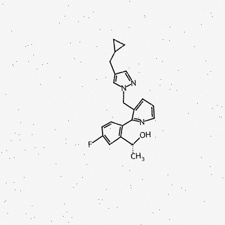 C[C@@H](O)c1cc(F)ccc1-c1ncccc1Cn1cc(CC2CC2)cn1